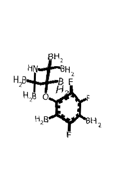 Bc1c(F)c(B)c(OC2(B)C(B)(B)NC2(B)B)c(F)c1F